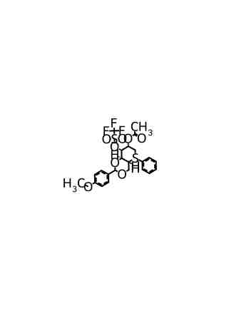 COc1ccc(C2OC[C@@H]3[C@@H](O2)[C@@H](OS(=O)(=O)C(F)(F)F)[C@@H](OC(C)=O)C[SH]3c2ccccc2)cc1